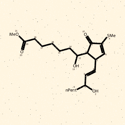 CCCCCC(O)/C=C/C1C=C(SC)C(=O)C1C(O)CCCCCC(=O)OC